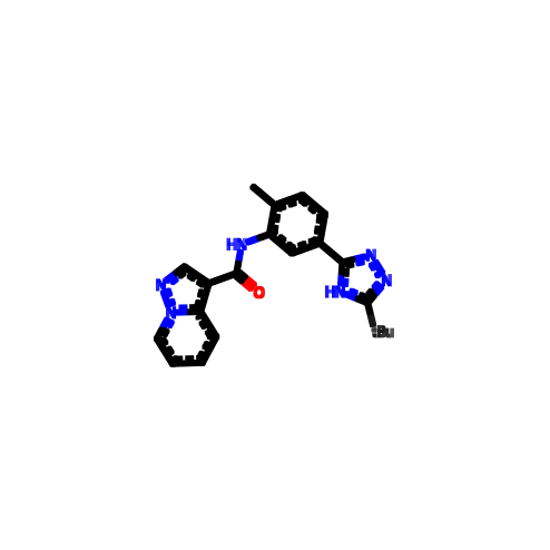 Cc1ccc(-c2nnc(C(C)(C)C)[nH]2)cc1NC(=O)c1cnn2ccccc12